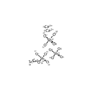 [Ca+2].[Ca+2].[Ca+2].[O]=[Sb]([O-])([O-])[O-].[O]=[Sb]([O-])([O-])[O-].[O]=[Sb]([O-])([O-])[O-].[Sc+3]